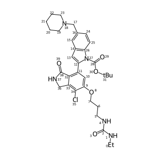 CCNC(=O)NCCCOc1cc(-c2cc3cc(CN4CCCCC4)ccc3n2C(=O)OC(C)(C)C)c2c(c1Cl)CNC2=O